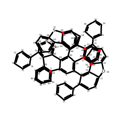 c1ccc(-c2cc(-c3c(-c4ccccc4)ccc4oc5ccccc5c34)c(-c3nnnc(-c4ccccc4)c3-c3ccccc3)c(-c3c(-c4ccccc4)ccc4sc5ccccc5c34)c2-c2nnnc(-c3ccccc3)c2-c2ccccc2)cc1